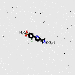 CS(=O)(=O)c1ccc(-c2ccc(C3CN(C(=O)O)C3)cn2)c(Cl)c1